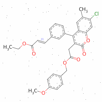 CCOC(=O)/C=C/c1cccc(-c2c(CC(=O)OCc3ccc(OC)cc3)c(=O)oc3cc(Cl)c(C)cc23)c1